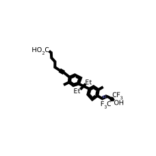 CCC(CC)(c1ccc(C#CCCCCC(=O)O)c(C)c1)c1ccc(/C=C/C(O)(C(F)(F)F)C(F)(F)F)c(C)c1